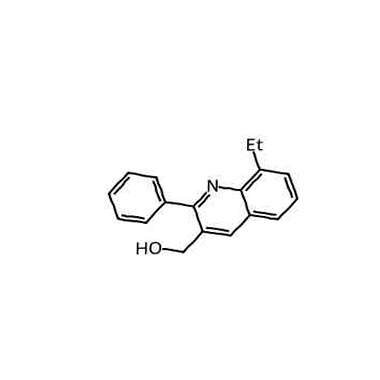 CCc1cccc2cc(CO)c(-c3ccccc3)nc12